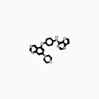 c1ncc2c(OC3CCC(Nc4ncnc5ccoc45)CC3)cc(N3CCOCC3)cc2n1